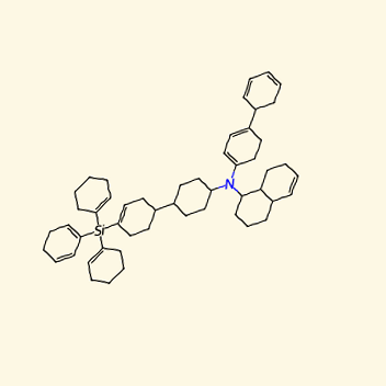 C1=CCC(C2=CC=C(N(C3CCC(C4CC=C([Si](C5=CCCC=C5)(C5=CCCCC5)C5=CCCCC5)CC4)CC3)C3CCCC4C=CCCC43)CC2)C=C1